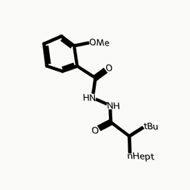 CCCCCCCC(C(=O)NNC(=O)c1ccccc1OC)C(C)(C)C